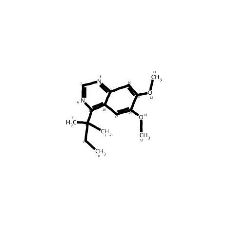 CCC(C)(C)c1ncnc2cc(OC)c(OC)cc12